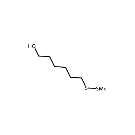 CSSCCCCCCO